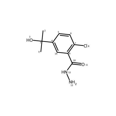 CC(C)(O)c1ccc(Cl)c(C(=O)NN)c1